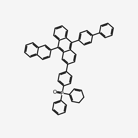 O=P(C1=CCCC=C1)(c1ccccc1)c1ccc(-c2ccc3c(-c4ccc(-c5ccccc5)cc4)c4ccccc4c(-c4ccc5ccccc5c4)c3c2)cc1